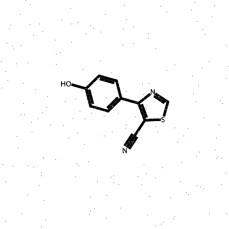 N#Cc1scnc1-c1ccc(O)cc1